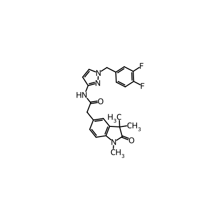 CN1C(=O)C(C)(C)c2cc(CC(=O)Nc3ccn(Cc4ccc(F)c(F)c4)n3)ccc21